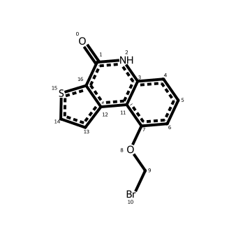 O=c1[nH]c2cccc(OCBr)c2c2ccsc12